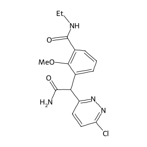 CCNC(=O)c1cccc(C(C(N)=O)c2ccc(Cl)nn2)c1OC